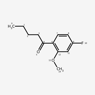 CCCCC(=O)c1ccc(F)cc1OC